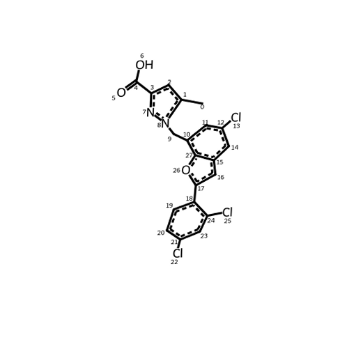 Cc1cc(C(=O)O)nn1Cc1cc(Cl)cc2cc(-c3ccc(Cl)cc3Cl)oc12